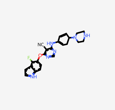 N#Cc1c(NC2=CCC(N3CCNCC3)C=C2)ncnc1Oc1ccc2[nH]ccc2c1F